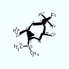 Cc1cc(C(F)(F)F)c(Cl)cc1N(C)C